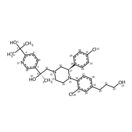 CC(C)(O)c1ccc([C@](C)(O)CN2CCN(c3ccc(CCCO)cc3Cl)[C@H](c3ccc(Cl)cc3)C2)cn1